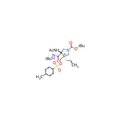 C=CC[C@@]1(COS(=O)(=O)c2ccc(C)cc2)CN(C(=O)OC(C)(C)C)C[C@@]1(NC(C)=O)C(=O)NC(C)(C)C